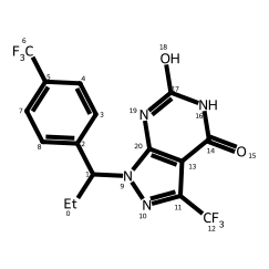 CCC(c1ccc(C(F)(F)F)cc1)n1nc(C(F)(F)F)c2c(=O)[nH]c(O)nc21